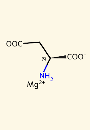 N[C@@H](CC(=O)[O-])C(=O)[O-].[Mg+2]